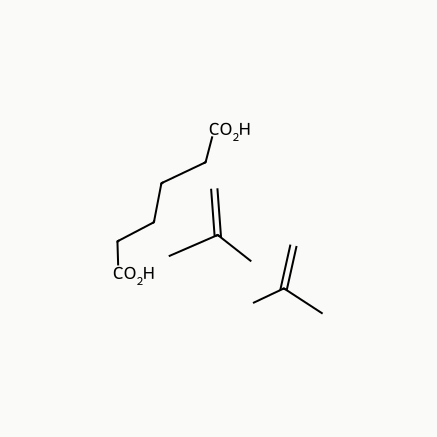 C=C(C)C.C=C(C)C.O=C(O)CCCCC(=O)O